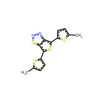 Cc1ccc(-c2sc(-c3ccc(C)s3)c3snnc23)s1